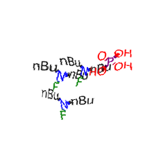 CCCCN(F)CCCC.CCCCN(F)CCCC.CCCCN(F)CCCC.O=P(O)(O)O